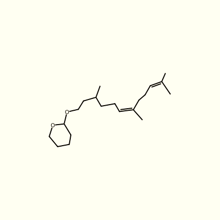 CC(C)=CCCC(C)=CCCC(C)CCOC1CCCCO1